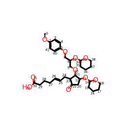 COc1ccc(OCC(COC2C(OC3CCCCO3)CC(=O)C2C/C=C/CCCC(=O)O)OC2CCCCO2)cc1